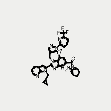 COc1cc(C(=O)N2CC3CCC2C3N)cc2nc(-c3cc4cccnc4n3CC3CC3)n(Cc3cnn(-c4cccc(C(F)(F)F)n4)c3)c12